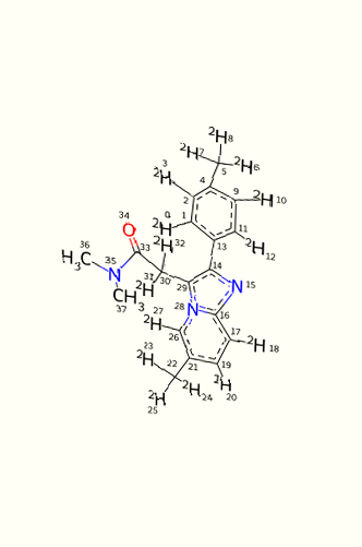 [2H]c1c([2H])c(C([2H])([2H])[2H])c([2H])c([2H])c1-c1nc2c([2H])c([2H])c(C([2H])([2H])[2H])c([2H])n2c1C([2H])([2H])C(=O)N(C)C